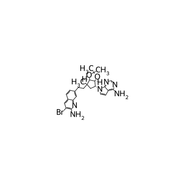 CC1(C)O[C@H]2[C@H](n3ccc4c(N)ncnc43)C[C@](C)(CCc3ccc4cc(Br)c(N)nc4c3)[C@H]2O1